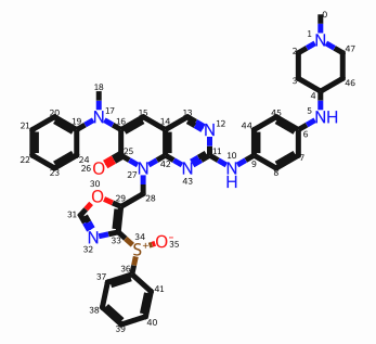 CN1CCC(Nc2ccc(Nc3ncc4cc(N(C)c5ccccc5)c(=O)n(Cc5ocnc5[S+]([O-])c5ccccc5)c4n3)cc2)CC1